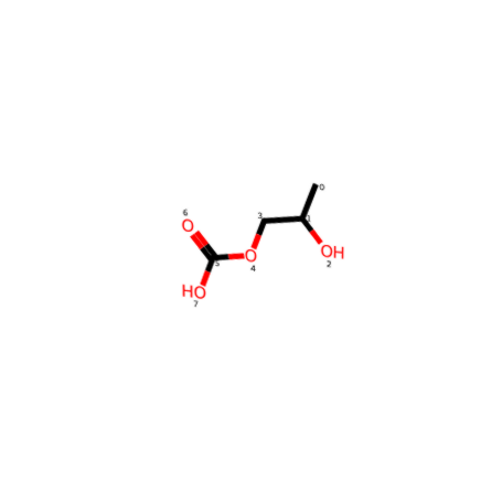 CC(O)COC(=O)O